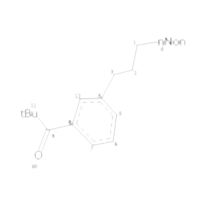 CCCCCCCCCCCCc1cccc(C(=O)C(C)(C)C)c1